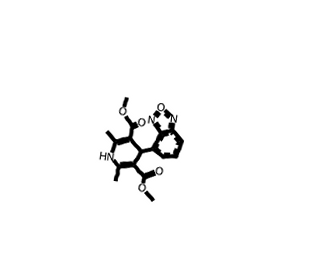 COC(=O)C1=C(C)NC(C)=C(C(=O)OC)C1c1cccc2nonc12